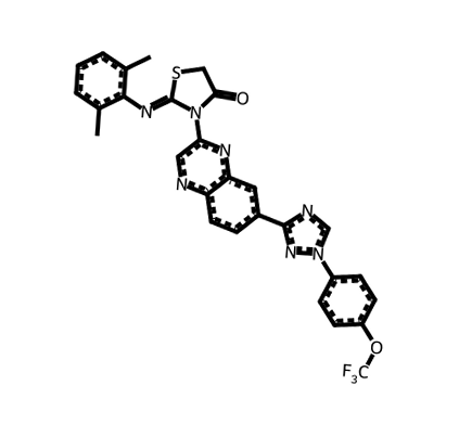 Cc1cccc(C)c1/N=C1\SCC(=O)N1c1cnc2ccc(-c3ncn(-c4ccc(OC(F)(F)F)cc4)n3)cc2n1